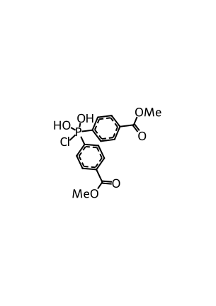 COC(=O)c1ccc(P(O)(O)(Cl)c2ccc(C(=O)OC)cc2)cc1